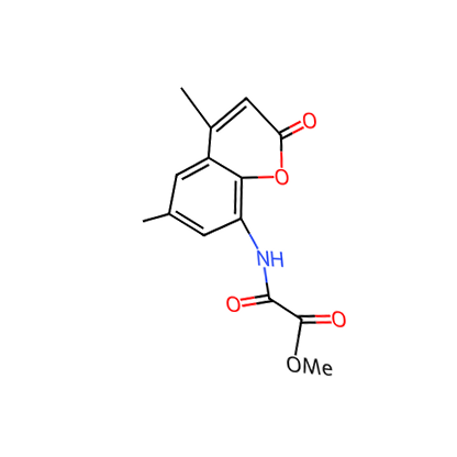 COC(=O)C(=O)Nc1cc(C)cc2c(C)cc(=O)oc12